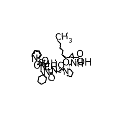 CCCCC/C=C\C1C[C@]1(NC(=O)[C@@H]1CCCN1C(=O)CNC(=O)NC1(CN(C)S(=O)(=O)c2ccccn2)CCCCC1)C(=O)O